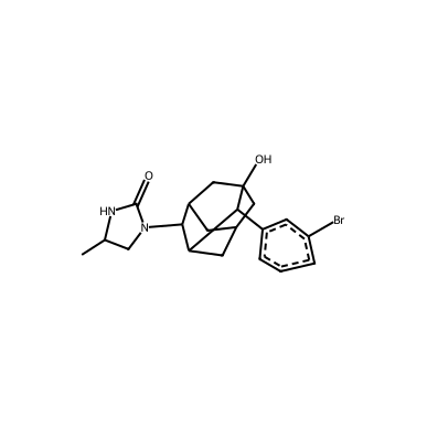 CC1CN(C2C3CC4CC2C(c2cccc(Br)c2)C(O)(C4)C3)C(=O)N1